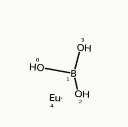 OB(O)O.[Eu]